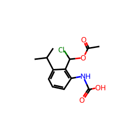 CC(=O)OC(Cl)c1c(NC(=O)O)cccc1C(C)C